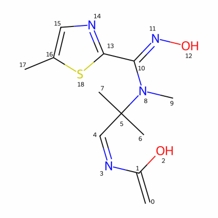 C=C(O)/N=C\C(C)(C)N(C)/C(=N\O)c1ncc(C)s1